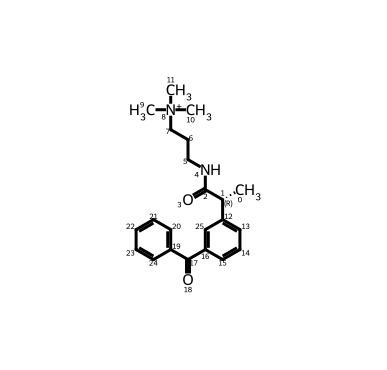 C[C@@H](C(=O)NCCC[N+](C)(C)C)c1cccc(C(=O)c2ccccc2)c1